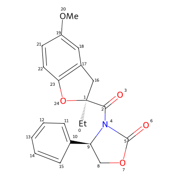 CC[C@@]1(C(=O)N2C(=O)OC[C@H]2c2ccccc2)Cc2cc(OC)ccc2O1